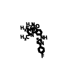 Cc1cc(C)nc(-c2cc(Nc3nc(-c4ccc(F)cc4)cs3)ccc2S(N)(=O)=O)n1